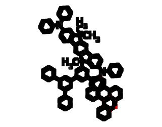 CC1(C)c2cc(N(c3ccccc3)c3ccccc3)ccc2-c2cc3c(cc21)-c1ccc(N(c2ccccc2)c2ccccc2)cc1C3(C)c1cc(-c2cc(-c3ccccc3)cc(-c3ccccc3)c2)cc(-c2ccc(-c3cccc4ccccc34)c3c(-c4cccc5ccccc45)cccc23)c1